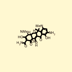 CNc1cc(N)c(O)c2c1C(C)(C)[C@H]1C[C@H]3[C@H](NC)C(O)=C(C(N)=O)C(=O)[C@@]3(O)C(O)=C1C2=O